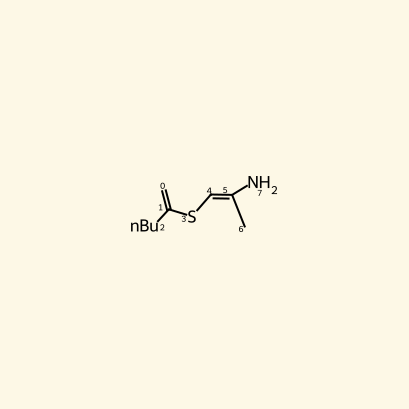 C=C(CCCC)S/C=C(\C)N